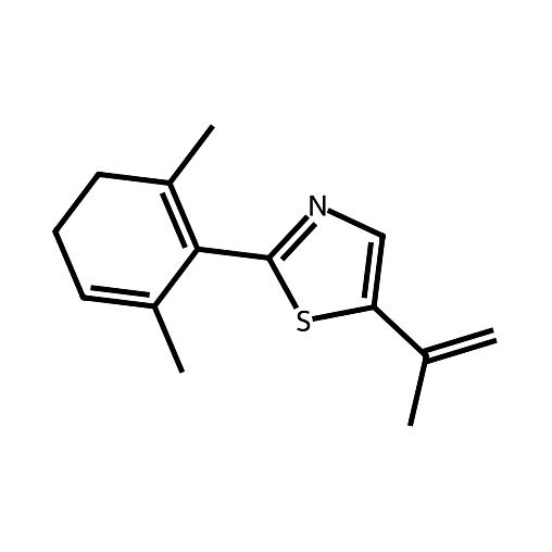 C=C(C)c1cnc(C2=C(C)CCC=C2C)s1